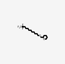 FC(F)(F)C(F)(F)CCCCCCCCCCOCC1CCCCO1